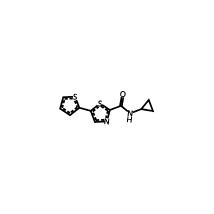 O=C(NC1CC1)c1ncc(-c2cccs2)s1